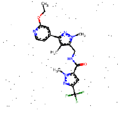 CCOc1cc(-c2nn(C)c(CNC(=O)c3cc(C(F)(F)F)nn3C)c2C)ccn1